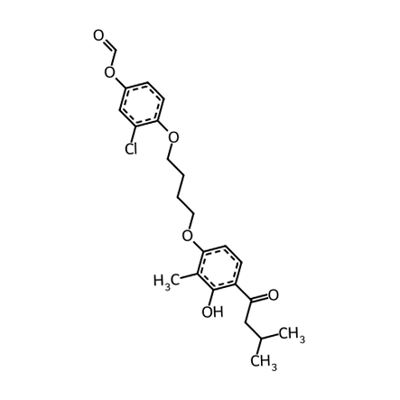 Cc1c(OCCCCOc2ccc(OC=O)cc2Cl)ccc(C(=O)CC(C)C)c1O